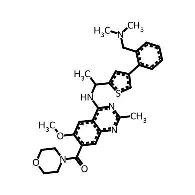 COc1cc2c(NC(C)c3cc(-c4ccccc4CN(C)C)cs3)nc(C)nc2cc1C(=O)N1CCOCC1